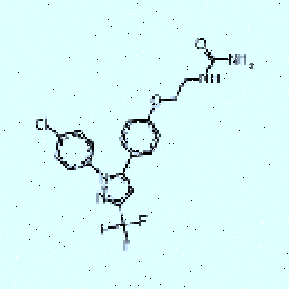 NC(=O)NCCOc1ccc(-c2cc(C(F)(F)F)nn2-c2ccc(Cl)cc2)cc1